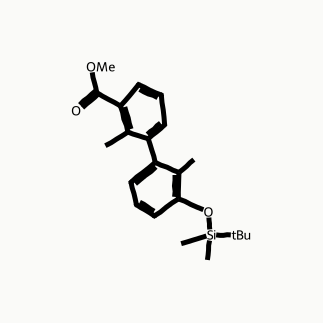 COC(=O)c1cccc(-c2cccc(O[Si](C)(C)C(C)(C)C)c2C)c1C